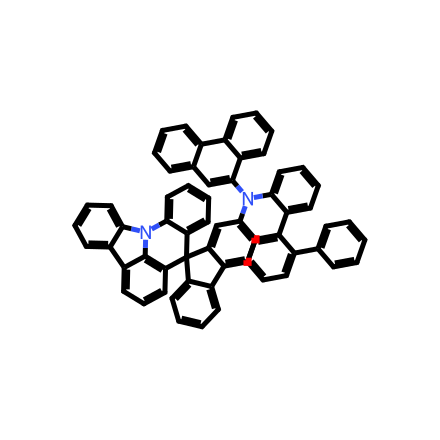 c1ccc(-c2ccccc2-c2ccccc2N(c2ccc3c(c2)C2(c4ccccc4-3)c3ccccc3-n3c4ccccc4c4cccc2c43)c2cc3ccccc3c3ccccc23)cc1